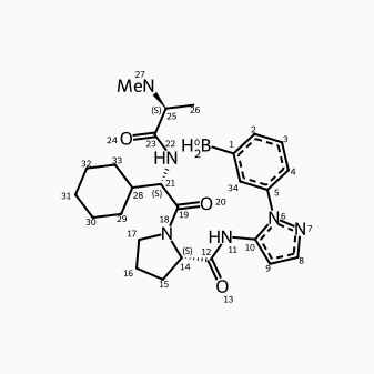 Bc1cccc(-n2nccc2NC(=O)[C@@H]2CCCN2C(=O)[C@@H](NC(=O)[C@H](C)NC)C2CCCCC2)c1